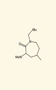 CNC1CC(C)CCN(CC(C)(C)C)C1=O